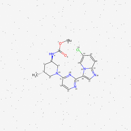 C[C@@H]1C[C@@H](NC(=O)OC(C)(C)C)CN(c2ccnc(-c3cnc4ccc(Cl)cn34)n2)C1